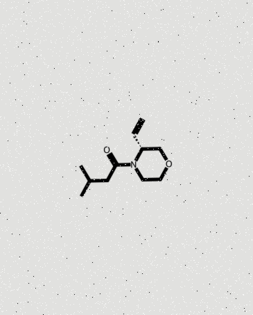 C=C[C@@H]1COCCN1C(=O)CC(C)C